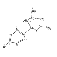 CC(C)(C)[S+]([O-])NC(CCN)c1ccc(Br)cn1